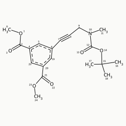 COC(=O)c1cc(C#CCN(C)C(=O)OC(C)(C)C)cc(C(=O)OC)c1